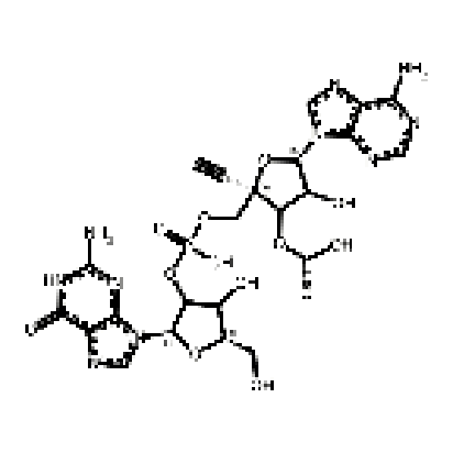 C#C[C@]1(COP(=O)(O)OC2C(O)[C@@H](CO)O[C@H]2n2cnc3c(=O)[nH]c(N)nc32)O[C@@H](n2cnc3c(N)ncnc32)C(O)C1O[PH](=O)O